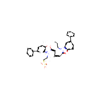 CCC(=Cc1oc2ccc(-c3ccccc3)cc2[n+]1CCS(=O)(=O)O)C=C1Oc2ccc(-c3ccccc3)cc2N1CCS(=O)(=O)[O-]